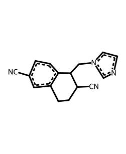 N#Cc1ccc2c(c1)CCC(C#N)C2Cn1ccnc1